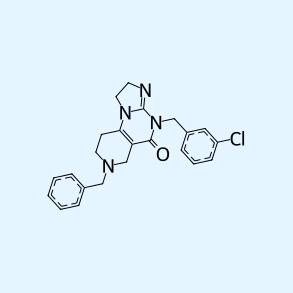 O=C1C2=C(CCN(Cc3ccccc3)C2)N2CCN=C2N1Cc1cccc(Cl)c1